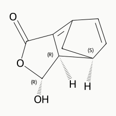 O=C1O[C@@H](O)[C@H]2C1=C1C=C[C@@H]2C1